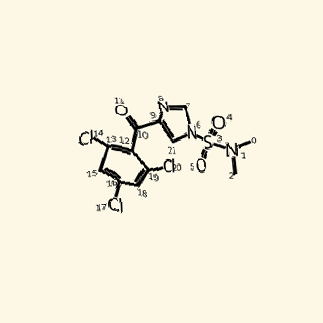 CN(C)S(=O)(=O)n1cnc(C(=O)c2c(Cl)cc(Cl)cc2Cl)c1